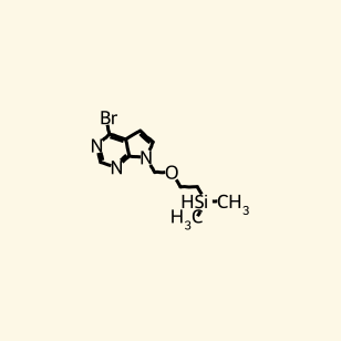 C[SiH](C)CCOCn1ccc2c(Br)ncnc21